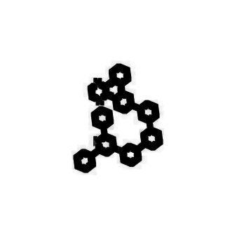 c1ccc(-c2cc(-c3cccc(-c4cccc(-c5cccc(-c6ccc7c(c6)c6ccccc6c6nccnc76)c5)c4)c3)cc(-c3ccccc3)n2)cc1